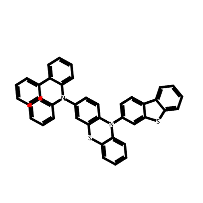 c1ccc(-c2ccccc2N(c2ccccc2)c2ccc3c(c2)Sc2ccccc2N3c2ccc3c(c2)sc2ccccc23)cc1